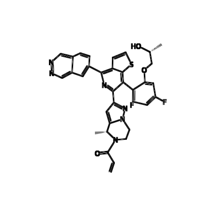 C=CC(=O)N1CCn2nc(-c3nc(-c4ccc5cnncc5c4)c4ccsc4c3-c3c(F)cc(F)cc3OC[C@@H](C)O)cc2[C@H]1C